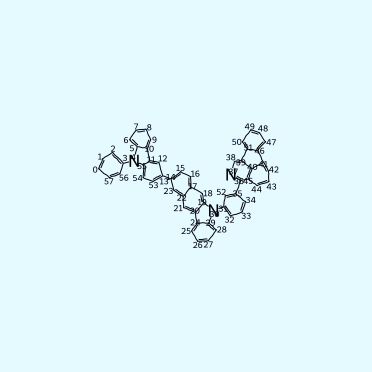 c1ccc(-n2c3ccccc3c3cc(-c4ccc5cc6c(cc5c4)c4ccccc4n6-c4cccc(-c5ncc6c7c(cccc57)-c5ccccc5-6)c4)ccc32)cc1